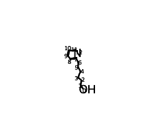 OCCCCCCc1ccccn1